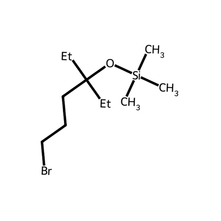 CCC(CC)(CCCBr)O[Si](C)(C)C